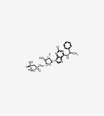 CC(Nc1nc(Cl)nc2c1ncn2[C@@H]1O[C@H](COP(=O)(O)CP(=O)(O)O)[C@@H](O)[C@@H]1F)c1ccccc1